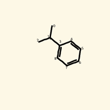 C[C](C)c1[c]cccc1